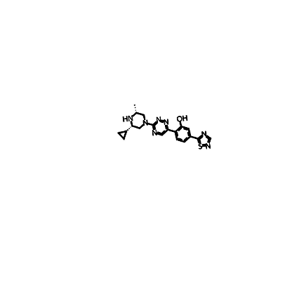 C[C@@H]1CN(c2ncc(-c3ccc(-c4ncns4)cc3O)nn2)C[C@H](C2CC2)N1